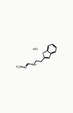 Cl.NN=CNCCc1cc2ccccc2s1